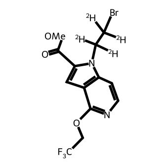 [2H]C([2H])(Br)C([2H])([2H])n1c(C(=O)OC)cc2c(OCC(F)(F)F)nccc21